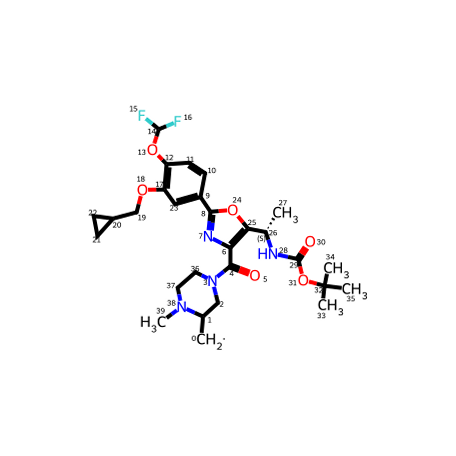 [CH2]C1CN(C(=O)c2nc(-c3ccc(OC(F)F)c(OCC4CC4)c3)oc2[C@H](C)NC(=O)OC(C)(C)C)CCN1C